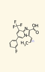 C/C=C\c1c(C(=O)O)nc2c(C(F)(F)F)cc(-c3cccc(F)c3)cn12